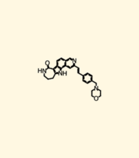 O=C1NCCCc2[nH]c3c(ccc4cnc(C=Cc5ccc(CN6CCOCC6)cc5)cc43)c21